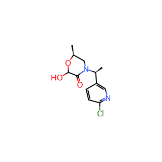 C[C@H]1CN([C@@H](C)c2ccc(Cl)nc2)C(=O)C(O)O1